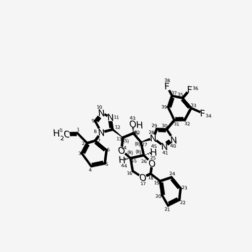 C=Cc1ccccc1-n1cnnc1[C@@H]1O[C@@H]2COC(c3ccccc3)O[C@@H]2[C@H](n2cc(-c3cc(F)c(F)c(F)c3)nn2)[C@H]1O